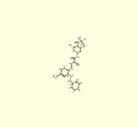 CS(=O)(=O)Nc1c(F)cc(CNC(=O)C=Cc2ccc(C(F)(F)F)nc2CCc2ccccc2)cc1F